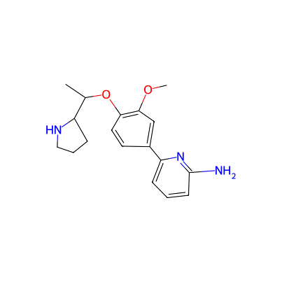 COc1cc(-c2cccc(N)n2)ccc1OC(C)C1CCCN1